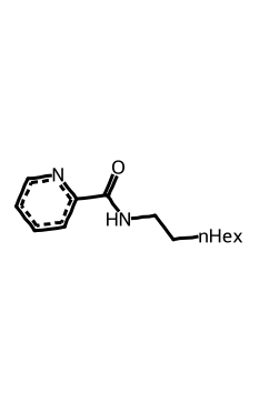 CCCCCCCCNC(=O)c1ccccn1